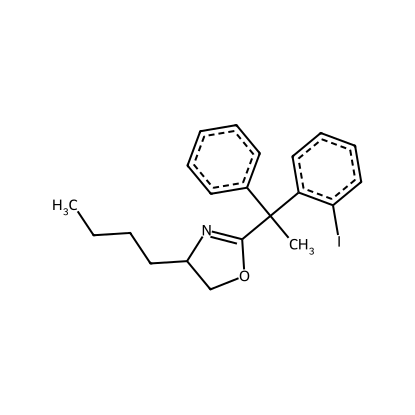 CCCCC1COC(C(C)(c2ccccc2)c2ccccc2I)=N1